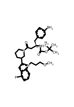 Bc1ccc(C[C@H](CC(=O)N2CCCC(c3cc4c(F)cccc4n3CCCOC)C2)NC(=O)OC(C)(C)C)cc1